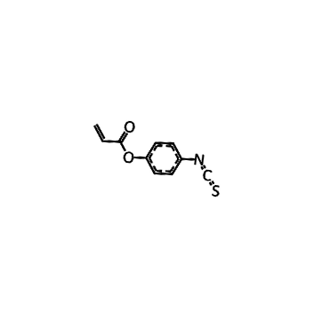 C=CC(=O)Oc1ccc(N=C=S)cc1